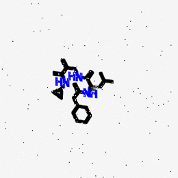 C=C(CC1CCCCC1)N[C@@H](CC(C)C)C(=C)NCC(=C)C(=C)NC1CC1